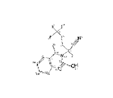 CC(C#N)(CCC(F)(F)F)N(C(=O)O)C(I)c1ccccc1